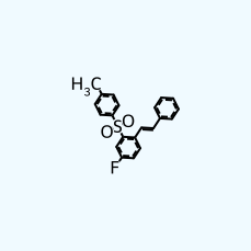 Cc1ccc(S(=O)(=O)c2cc(F)ccc2C=Cc2ccccc2)cc1